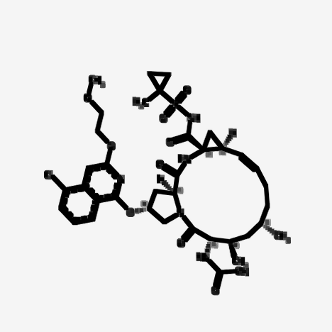 COCCOc1cc2c(Cl)cccc2c(O[C@@H]2C[C@H]3C(=O)N[C@]4(C(=O)NS(=O)(=O)C5(C)CC5)C[C@H]4C=CCC[C@H](C)C[C@@H](C)[C@H](NC(=O)O)C(=O)N3C2)n1